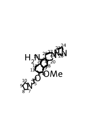 COc1c(OCCN2CCCC2)ccc2c(N)c3c(cc12)CN(n1ccnc1)C=C3